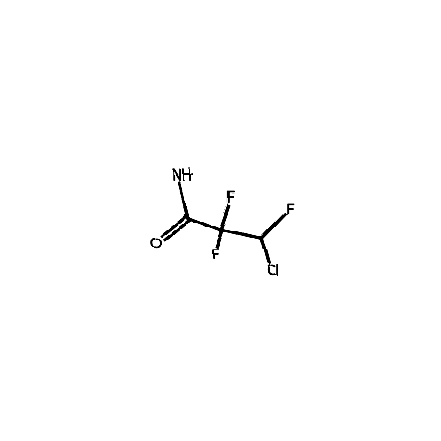 [NH]C(=O)C(F)(F)C(F)Cl